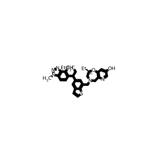 CCOC(=O)CC(c1cc(CN2Cc3ncc(O)cc3O[C@H](CC)C2)c2sccc2c1)c1ccc2c(nnn2C)c1C